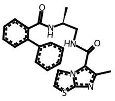 Cc1nc2sccn2c1C(=O)NC[C@H](C)NC(=O)c1ccccc1-c1ccccc1